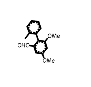 COc1cc(C=O)c(-c2ccccc2C)c(OC)c1